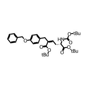 CC(C)(C)OC(=O)N[C@@H](C/C=C(/Cc1ccc(OCc2ccccc2)cc1)C(=O)OC(C)(C)C)C(=O)OC(C)(C)C